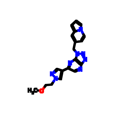 COCCn1cc(-c2cnc3nnn(Cc4ccn5cccc5c4)c3n2)cn1